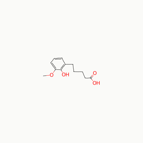 COc1cccc(CCCCC(=O)O)c1O